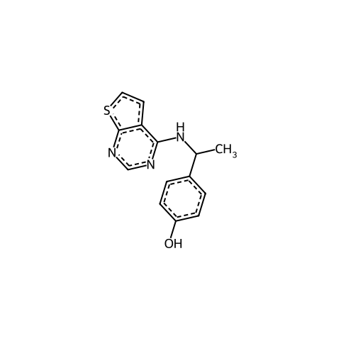 CC(Nc1ncnc2sccc12)c1ccc(O)cc1